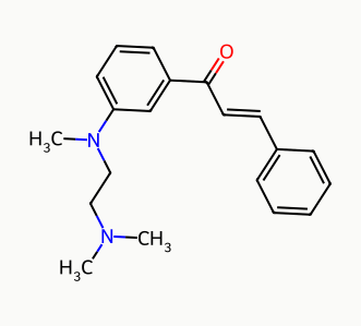 CN(C)CCN(C)c1cccc(C(=O)C=Cc2ccccc2)c1